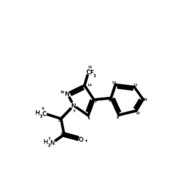 CC(C(N)=O)n1cc(-c2ccccc2)c(C(F)(F)F)n1